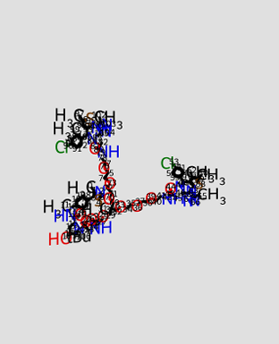 Cc1ncsc1-c1ccc([C@H](C)NC(=O)[C@@H]2C[C@@H](O)CN2C(=O)[C@@H](NC(=O)COCC(C)(COCCOCCOCCNC(=O)C[C@@H]2N=C(c3ccc(Cl)cc3)c3c(sc(C)c3C)-n3c(C)nnc32)COCCOCCOCCNC(=O)C[C@@H]2N=C(c3ccc(Cl)cc3)c3c(sc(C)c3C)-n3c(C)nnc32)C(C)(C)C)cc1